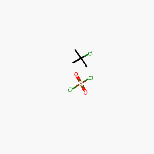 CC(C)(C)Cl.O=S(=O)(Cl)Cl